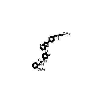 COCCNCc1ccc(-c2cc3nccc(Oc4ccc(NC(=O)Nc5ccccc5OC)cc4F)c3s2)nc1